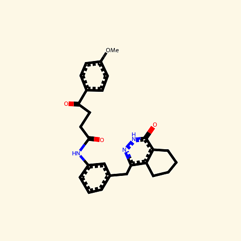 COc1ccc(C(=O)CCC(=O)Nc2cccc(Cc3n[nH]c(=O)c4c3CCCC4)c2)cc1